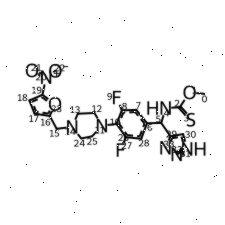 COC(=S)NC(c1cc(F)c(N2CCN(Cc3ccc([N+](=O)[O-])o3)CC2)c(F)c1)c1c[nH]nn1